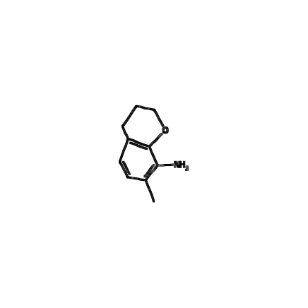 Cc1ccc2c(c1N)OCCC2